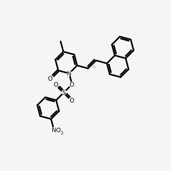 Cc1cc(/C=C/c2cccc3ccccc23)n(OS(=O)(=O)c2cccc([N+](=O)[O-])c2)c(=O)c1